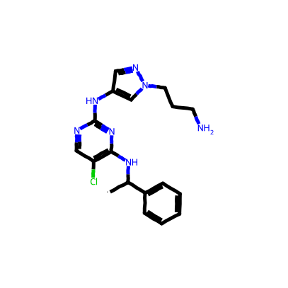 [CH2][C](Nc1nc(Nc2cnn(CCCN)c2)ncc1Cl)c1ccccc1